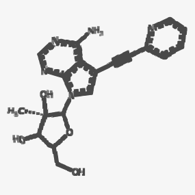 C[C@@]1(O)C(O)C(CO)OC1n1cc(C#Cc2ccccn2)c2c(N)ncnc21